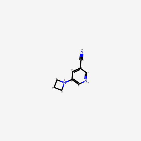 N#Cc1cncc(N2CCC2)c1